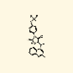 Cc1cc(C(C)C2NC(=O)N(c3ccc(SC(F)(F)F)cc3)C2=O)c2ccccc2n1